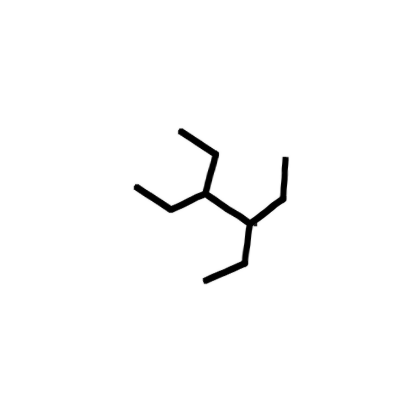 CC[C](CC)C(CC)CC